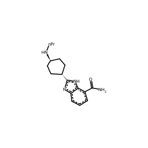 CCCN[C@H]1CC[C@H](c2nc3cccc(C(N)=O)c3[nH]2)CC1